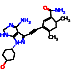 CC1=C(C#Cc2nn([C@H]3CC[C@H](O)CC3)c3c2C(N)=NCN3)C=C(C(N)=O)C(C)C1